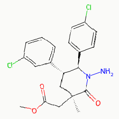 COC(=O)C[C@@]1(C)C[C@H](c2cccc(Cl)c2)[C@@H](c2ccc(Cl)cc2)N(N)C1=O